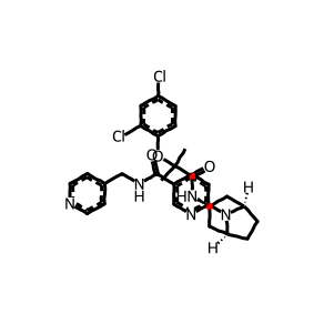 CC(C)(Oc1ccc(Cl)cc1Cl)C(=O)N[C@H]1C[C@H]2CC[C@@H](C1)N2c1ccc(C(=O)NCc2ccncc2)cn1